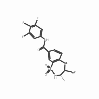 CCCC1Nc2ccc(C(=O)Nc3cc(F)c(F)c(F)c3)cc2S(=O)(=O)N[C@H]1C